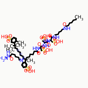 C=C(/C=C/C=C/C=C1\N(CCCCCC(=O)NN)c2ccc(S(=O)(=O)O)cc2C1(C)CCCCCC(=O)NC(CS(=O)(=O)O)C(=O)NC(CS(=O)(=O)O)C(=O)NC(CS(=O)(=O)O)C(=O)NCCCCCNC(=O)CCCCCC)C(C)(C)c1cc(S(=O)(=O)O)ccc1C